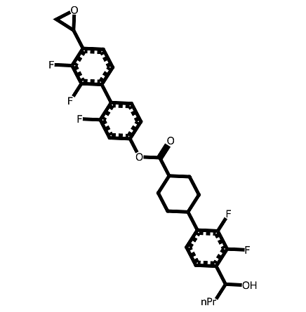 CCCC(O)c1ccc(C2CCC(C(=O)Oc3ccc(-c4ccc(C5CO5)c(F)c4F)c(F)c3)CC2)c(F)c1F